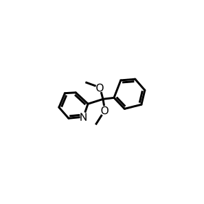 COC(OC)(c1ccccc1)c1ccccn1